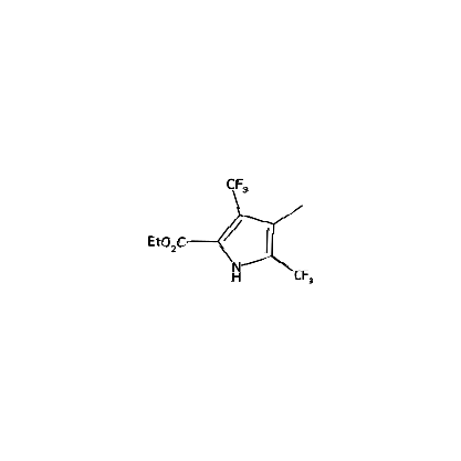 CCOC(=O)c1[nH]c(C(F)(F)F)c(C)c1C(F)(F)F